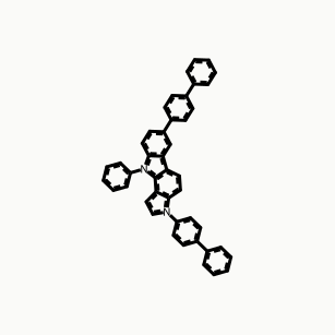 c1ccc(-c2ccc(-c3ccc4c(c3)c3ccc5c(ccn5-c5ccc(-c6ccccc6)cc5)c3n4-c3ccccc3)cc2)cc1